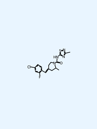 Cc1nsc(NC(=O)N2CC/C(=C\c3ccc(Cl)cc3F)CC2C)n1